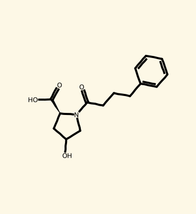 O=C(O)[C@@H]1CC(O)CN1C(=O)CCCc1ccccc1